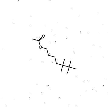 CC(=O)OCCCCC(C)(C)C(C)(C)C